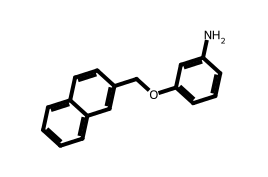 Nc1cccc(OCc2ccc3ccccc3c2)c1